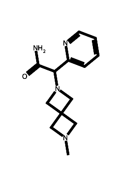 CN1CC2(C1)CN(C(C(N)=O)c1ccccn1)C2